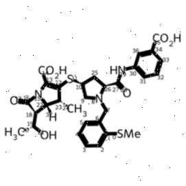 CSc1ccccc1CN1C[C@@H](SC2=C(C(=O)O)N3C(=O)[C@H]([C@@H](C)O)[C@H]3[C@H]2C)C[C@H]1C(=O)Nc1cccc(C(=O)O)c1